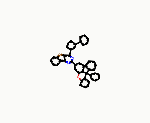 c1ccc(-c2cccc(-c3nc(-c4ccc5c(c4)Oc4ccccc4C5(c4ccccc4)c4ccccc4)nc4c3sc3ccccc34)c2)cc1